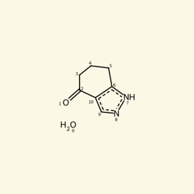 O.O=C1CCCc2[nH]ncc21